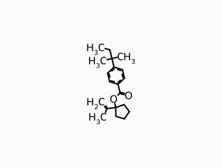 C=C(C)C1(OC(=O)c2ccc(C(C)(C)CC)cc2)CCCC1